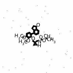 COc1ccc(-c2cccc3c2CCC3=O)c(OCC2(CNC(=O)OC(C)C)CC2)c1OC